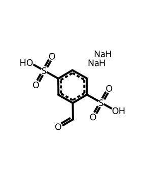 O=Cc1cc(S(=O)(=O)O)ccc1S(=O)(=O)O.[NaH].[NaH]